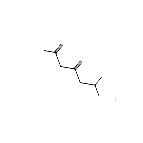 COC(=O)CC(=O)CC(N)C(=O)O